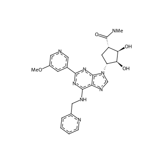 CNC(=O)[C@H]1C[C@@H](n2cnc3c(NCc4ccccn4)nc(-c4cncc(OC)c4)nc32)[C@H](O)[C@@H]1O